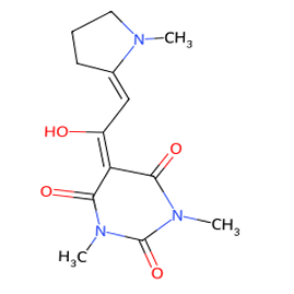 CN1C(=O)C(=C(O)/C=C2\CCCN2C)C(=O)N(C)C1=O